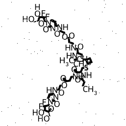 CCCC(=O)NC(CSC1CCC1SCC(NC(C)(C)C)C(=O)NCCC(=O)OCC(=O)Nc1ccn([C@H]2O[C@@H](CO)[C@H](O)C2(F)F)c(=O)n1)C(=O)NCCC(=O)OCC(=O)Nc1ccn([C@H]2O[C@@H](CO)[C@H](O)C2(F)F)c(=O)n1